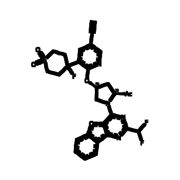 C#Cc1cnc(O[C@H]2C[C@@H](C(C)=O)N(c3nc(C(F)F)nc4c3oc3ccccc34)C2)c(C2(F)CCS(=O)(=O)CC2)c1